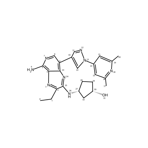 CCc1nc2c(N)ncc(-c3cnn(-c4cc(C)nc(C)c4)c3)c2nc1N[C@@H]1CC[C@H](O)C1